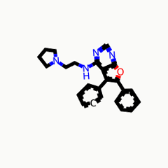 c1ccc(-c2oc3ncnc(NCCN4CCCC4)c3c2-c2ccccc2)cc1